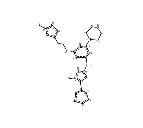 Cn1cc(CCOc2nc(Oc3cc(-c4ccccc4)n(C)n3)cc(N3CCOCC3)n2)cn1